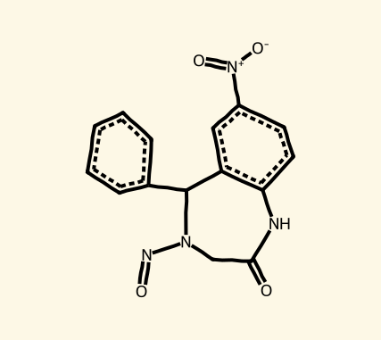 O=NN1CC(=O)Nc2ccc([N+](=O)[O-])cc2C1c1ccccc1